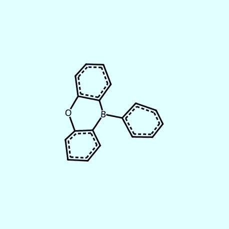 c1ccc(B2c3ccccc3Oc3ccccc32)cc1